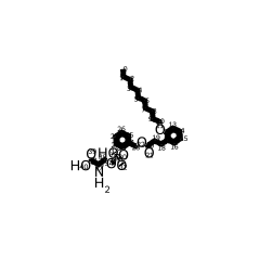 CCCCCCCCCCCOc1ccccc1CCC(=O)OCc1ccccc1OP(=O)(O)OC[C@H](N)C(=O)O